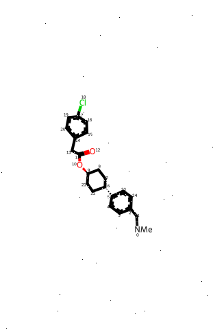 CNCc1ccc([C@H]2CC[C@H](OC(=O)Cc3ccc(Cl)cc3)CC2)cc1